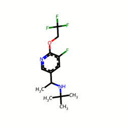 CC(NC(C)(C)C)c1cnc(OCC(F)(F)F)c(F)c1